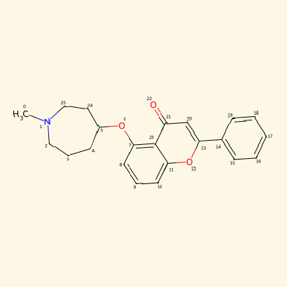 CN1CCCC(Oc2cccc3oc(-c4ccccc4)cc(=O)c23)CC1